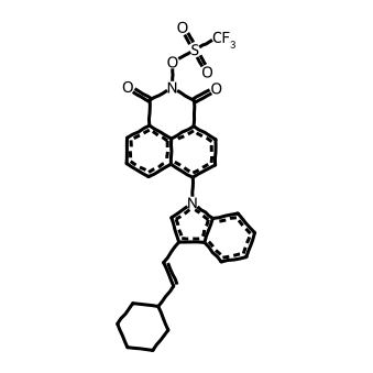 O=C1c2cccc3c(-n4cc(/C=C/C5CCCCC5)c5ccccc54)ccc(c23)C(=O)N1OS(=O)(=O)C(F)(F)F